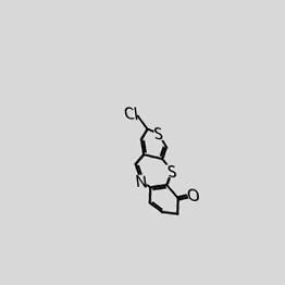 O=C1CC=CC2=C1SC1=CSC(Cl)C=C1C=N2